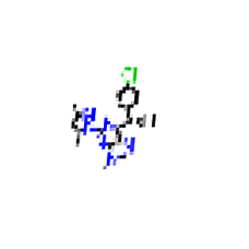 Cc1cc(C)n(-c2nc([AsH]c3ccc(Cl)cc3)c3ncn(C)c3n2)n1